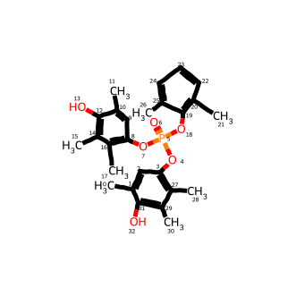 Cc1cc(OP(=O)(Oc2cc(C)c(O)c(C)c2C)Oc2c(C)cccc2C)c(C)c(C)c1O